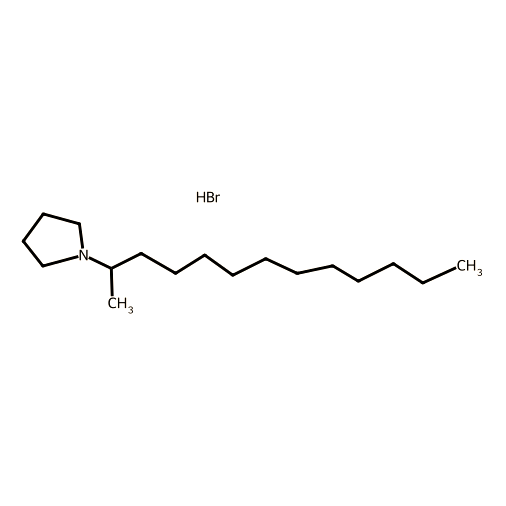 Br.CCCCCCCCCCCC(C)N1CCCC1